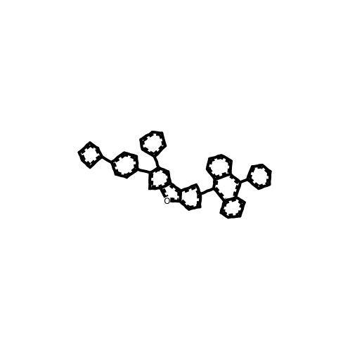 c1ccc(-c2ccc(-c3cc4oc5ccc(-c6c7ccccc7c(-c7ccccc7)c7ccccc67)cc5c4cc3-c3ccccc3)cc2)cc1